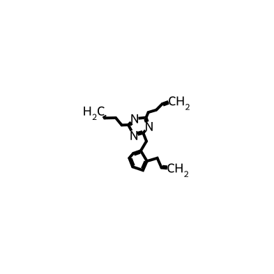 C=CCCc1nc(CCC=C)nc(Cc2ccccc2CC=C)n1